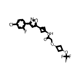 O=C(CO[C@H]1C[C@@H](OC(F)(F)F)C1)NC12CC(c3cc(-c4ccc(Cl)cc4F)no3)(C1)C2